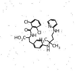 CC(C)(CCNc1ccccn1)Nc1ccc(CC(NC(=O)c2c(Cl)cccc2Cl)C(=O)O)cc1